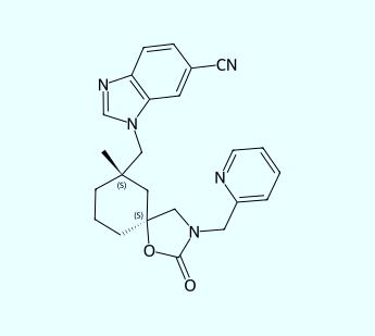 C[C@]1(Cn2cnc3ccc(C#N)cc32)CCC[C@@]2(CN(Cc3ccccn3)C(=O)O2)C1